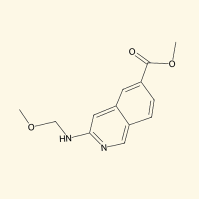 COCNc1cc2cc(C(=O)OC)ccc2cn1